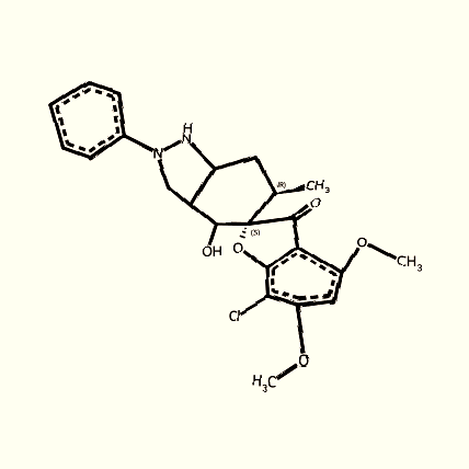 COc1cc(OC)c2c(c1Cl)O[C@]1(C2=O)C(O)C2CN(c3ccccc3)NC2C[C@H]1C